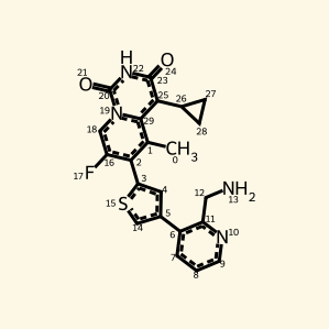 Cc1c(-c2cc(-c3cccnc3CN)cs2)c(F)cn2c(=O)[nH]c(=O)c(C3CC3)c12